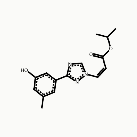 Cc1cc(O)cc(-c2ncn(/C=C\C(=O)OC(C)C)n2)c1